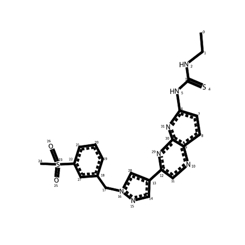 CCNC(=S)Nc1ccc2ncc(-c3cnn(Cc4cccc(S(C)(=O)=O)c4)c3)nc2n1